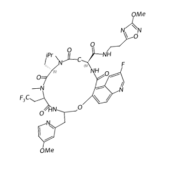 COc1ccnc(CC2COc3ccc4ncc(F)cc4c3C(=O)N[C@H](C(=O)NCCc3nc(OC)no3)CC(=O)N(C)[C@@H](CC(C)C)C(=O)N(C)C(CC(F)(F)F)C(=O)N2)c1